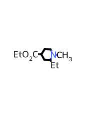 CCOC(=O)C1CCN(C)C(CC)C1